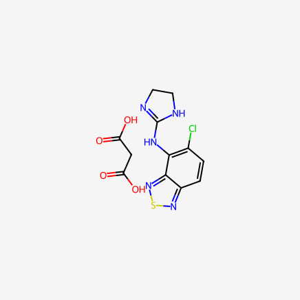 Clc1ccc2nsnc2c1NC1=NCCN1.O=C(O)CC(=O)O